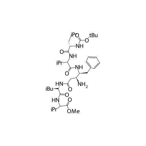 CC[C@H](C)[C@H](NC(=O)C[C@H](N)[C@H](Cc1ccccc1)NC(=O)C(NC(=O)[C@H](CC(C)C)NC(=O)OC(C)(C)C)C(C)C)C(=O)NC(C(=O)OC)C(C)C